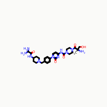 C[C@](N)(CO)C(=O)N1CCN(C(=O)Nc2ccn(-c3ccc(CN4CCC(NC(=O)C(N)N)CC4)cc3)c(=O)n2)CC1